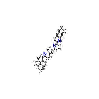 c1cc(-c2ccc3nc(-c4ccc5ccc6cccc7ccc4c5c67)ccc3c2)nc(-c2ccc3cc4ccccc4cc3n2)c1